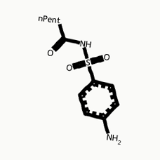 CCCCCC(=O)NS(=O)(=O)c1ccc(N)cc1